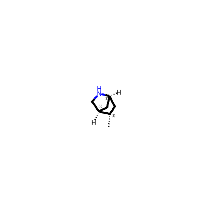 C[C@H]1C[C@H]2C[C@@H]1CN2